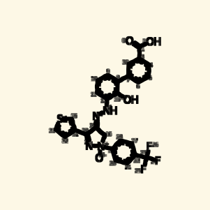 O=C(O)c1cccc(-c2cccc(NN=C3C[N+]([O-])(c4ccc(C(F)(F)F)cc4)N=C3c3ccsc3)c2O)c1